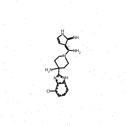 N=C1NC=C/C1=C(/N)N1CCC(N)(c2nc3c(Cl)cccc3[nH]2)CC1